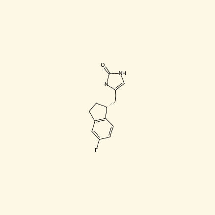 O=C1[N]C(C[C@H]2CCc3cc(F)ccc32)=CN1